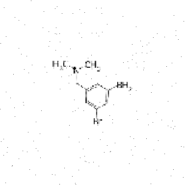 Bc1cc(Br)cc(CN(C)C)c1